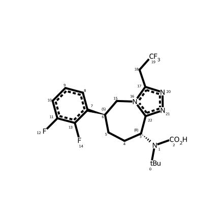 CC(C)(C)N(C(=O)O)[C@@H]1CC[C@@H](c2cccc(F)c2F)Cn2c(CC(F)(F)F)nnc21